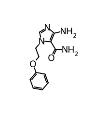 NC(=O)c1c(N)ncn1CCOc1ccccc1